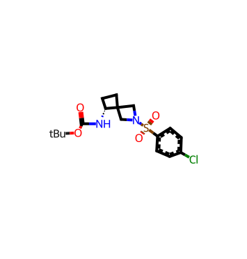 CC(C)(C)OC(=O)N[C@@H]1CCC12CN(S(=O)(=O)c1ccc(Cl)cc1)C2